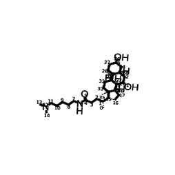 C[C@H](CCC(=O)NCCCCCN(C)C)[C@H]1CC[C@H]2[C@@H]3[C@@H](O)C[C@@H]4C[C@H](O)CC[C@]4(C)[C@H]3CC[C@]12C